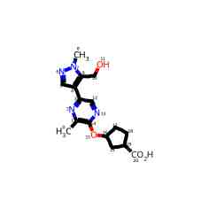 Cc1nc(-c2cnn(C)c2CO)cnc1OC1CCC(C(=O)O)C1